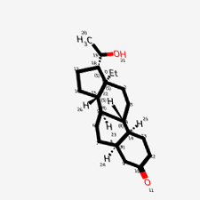 CC[C@]12CC[C@H]3[C@@H](CC[C@@H]4CC(=O)CC[C@@H]43)[C@@H]1CC[C@@H]2C(C)O